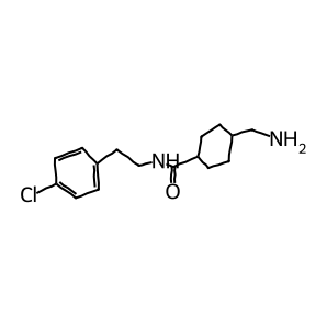 NCC1CCC(C(=O)NCCc2ccc(Cl)cc2)CC1